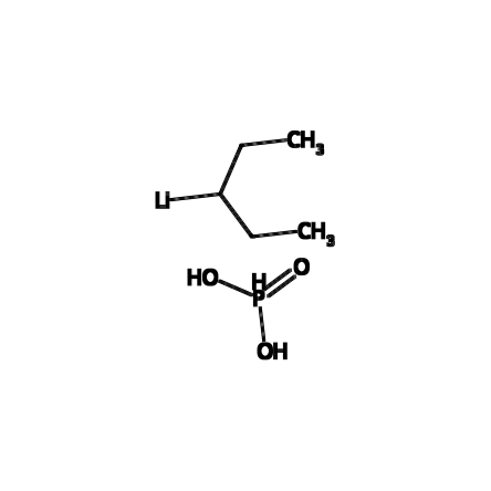 O=[PH](O)O.[Li][CH](CC)CC